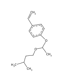 C=Cc1ccc(OC(C)OCCC(C)C)cc1